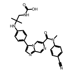 CN(C(=O)c1cn2c(-c3ccc(NC(C)(C)CNC(=O)O)cc3)cnc2cn1)c1ccc(C#N)cc1